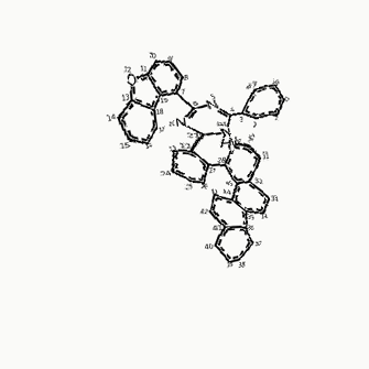 c1ccc(C2=NC(c3cccc4oc5ccccc5c34)=NC(c3ccccc3-c3nccc4ccc5c6ccccc6ccc5c34)N2)cc1